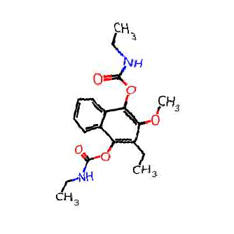 CCNC(=O)Oc1c(CC)c(OC)c(OC(=O)NCC)c2ccccc12